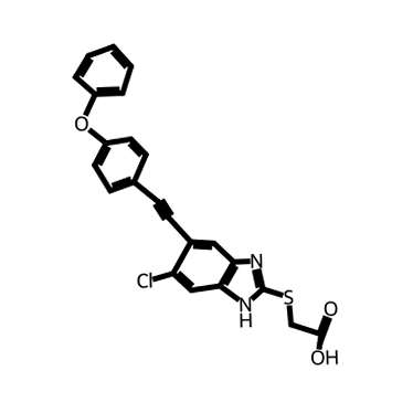 O=C(O)CSc1nc2cc(C#Cc3ccc(Oc4ccccc4)cc3)c(Cl)cc2[nH]1